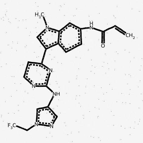 C=CC(=O)Nc1ccc2c(-c3ccnc(Nc4cnn(CC(F)(F)F)c4)n3)cn(C)c2c1